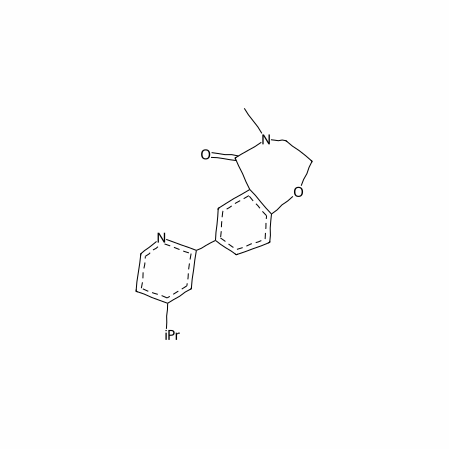 CC(C)c1ccnc(-c2ccc3c(c2)C(=O)N(C)CCO3)c1